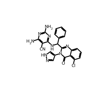 N#Cc1c(N)nc(N)nc1NC(c1ccccc1)c1nc2cccc(Cl)c2c(=O)n1-c1cn[nH]c1